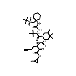 C#CCCC(NC(=O)[C@@H]1CC(C)(C)C(C)CN1C(=O)[C@@H](NC(=O)NC1(CS(=O)(=O)C(C)(C)C)CCCCC1)C(C)(C)C)C(=O)C(=O)NC1CC1C